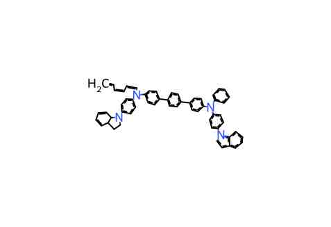 C=C/C=C\C=C/N(c1ccc(-c2ccc(-c3ccc(N(c4ccccc4)c4ccc(-n5ccc6ccccc65)cc4)cc3)cc2)cc1)c1ccc(N2CCC3C=CC=CC32)cc1